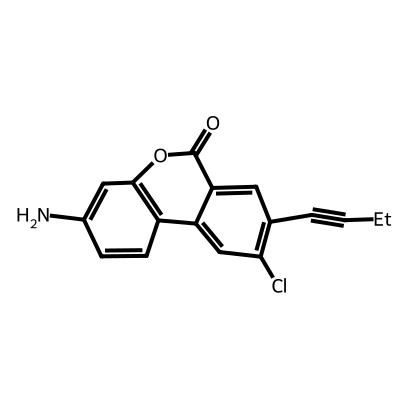 CCC#Cc1cc2c(=O)oc3cc(N)ccc3c2cc1Cl